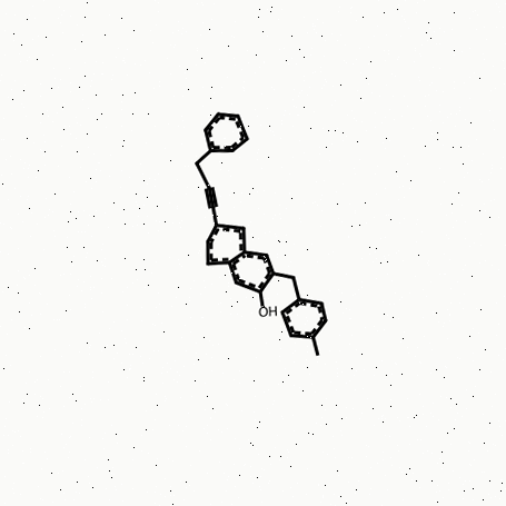 Cc1ccc(Cc2cc3cc(C#CCc4ccccc4)ccc3cc2O)cc1